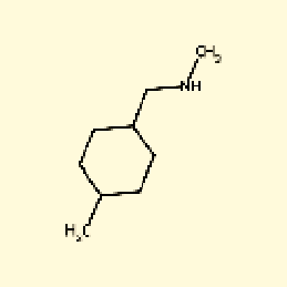 CNCC1CCC(C)CC1